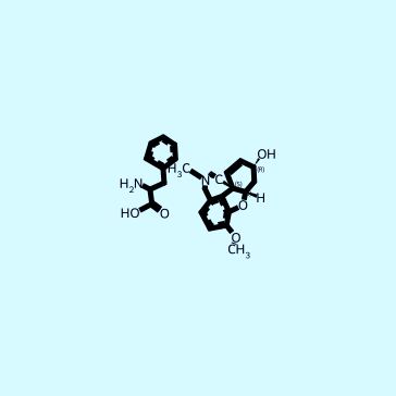 COc1ccc2c3c1O[C@H]1C[C@@H](O)C=C[C@@]31CCN(C)C2.NC(Cc1ccccc1)C(=O)O